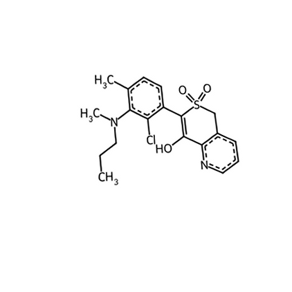 CCCN(C)c1c(C)ccc(C2=C(O)c3ncccc3CS2(=O)=O)c1Cl